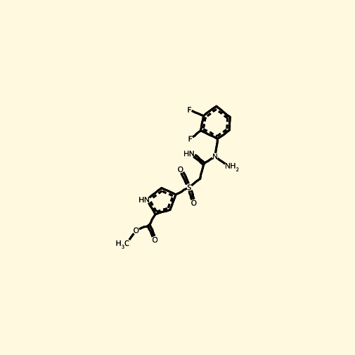 COC(=O)c1cc(S(=O)(=O)CC(=N)N(N)c2cccc(F)c2F)c[nH]1